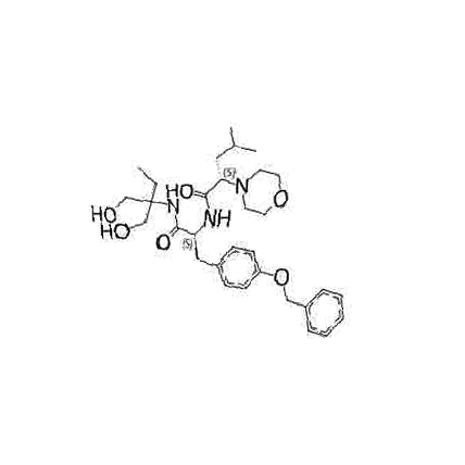 CCC(CO)(CO)NC(=O)[C@H](Cc1ccc(OCc2ccccc2)cc1)NC(=O)[C@H](CC(C)C)N1CCOCC1